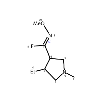 CCC1CN(C)CC1/C(F)=N/OC